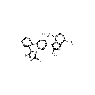 CCCCc1nc2c(C)ccc(C(=O)O)c2n1-c1ccc(-c2ccccc2-c2nc(=O)o[nH]2)cc1